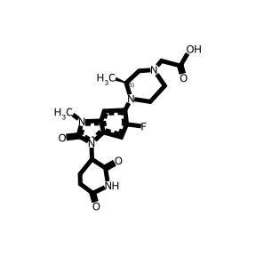 C[C@H]1CN(CC(=O)O)CCN1c1cc2c(cc1F)n(C1CCC(=O)NC1=O)c(=O)n2C